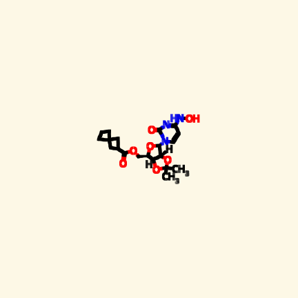 CC1(C)O[C@@H]2[C@H](O1)[C@@H](COC(=O)C1CC3(CCC3)C1)O[C@H]2n1ccc(NO)nc1=O